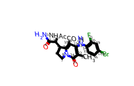 CC(=O)NC(C(N)=O)C1CCn2c1c(C(=O)O)c(Nc1ccc(Br)cc1F)c(C)c2=O